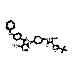 CNC(C(=O)NC1CCC(n2nc(-c3ccc(Oc4ccccc4)cc3)c3c(N)ncnc32)CC1)c1cc(C(C)(C)C)on1